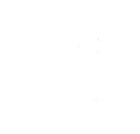 COc1cccc(C2OC(CC(=O)N3CCCCC3)c3nnc(CO)n3-c3ccc(Cl)cc32)c1OC